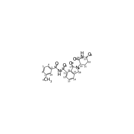 Cc1cccc(C(=O)NC(=O)c2cccc3c2C(=O)N(C2CCC(=O)NC2=O)C3)c1